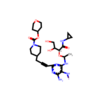 CC(Nc1nc(C#CCC2CCN(C(=O)OC3CCOCC3)CC2)nc(N)c1NI)O[C@H](C(=O)NC1CC1)C(O)CO